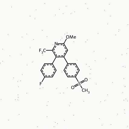 COc1cc(-c2ccc(S(C)(=O)=O)cc2)c(-c2ccc(F)cc2)c(C(F)(F)F)n1